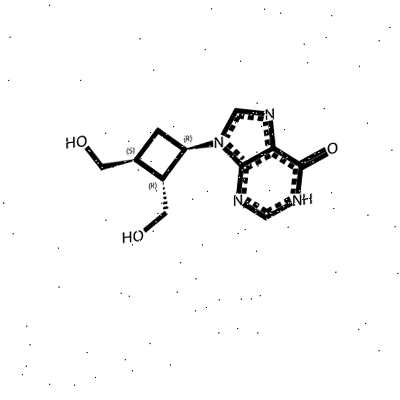 O=c1[nH]cnc2c1ncn2[C@@H]1C[C@H](CO)[C@H]1CO